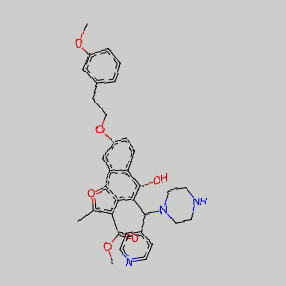 COC(=O)c1c(C)oc2c1c(C(c1ccncc1)N1CCNCC1)c(O)c1ccc(OCCc3cccc(OC)c3)cc12